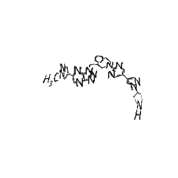 Cn1cc(-c2cnc3nnn(CC4CN(c5ncc(-c6cnn(C7CCNCC7)c6)cn5)CCO4)c3n2)cn1